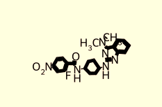 CN(C)c1nc(N[C@H]2CC[C@@H](NC(=O)c3ccc([N+](=O)[O-])cc3F)CC2)nc2ccccc12